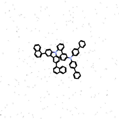 c1ccc(-c2ccc(N(c3ccc(-c4ccccc4)cc3)c3cccc(-c4ccccc4-n4c5ccc(-c6cccc7ccccc67)cc5c5cc(-c6cccc7ccccc67)ccc54)c3)cc2)cc1